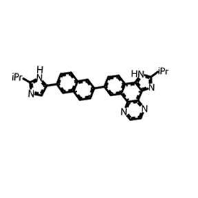 CC(C)c1ncc(-c2ccc3cc(-c4ccc5c(c4)c4nccnc4c4nc(C(C)C)[nH]c54)ccc3c2)[nH]1